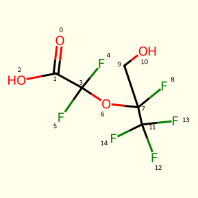 O=C(O)C(F)(F)OC(F)(CO)C(F)(F)F